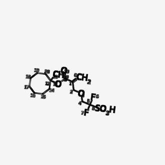 C=C(COCC(F)(F)S(=O)(=O)O)C(=O)OC1(C)CCCCCCC1